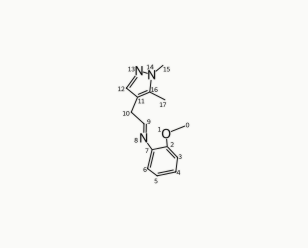 COc1ccccc1N=CCc1cnn(C)c1C